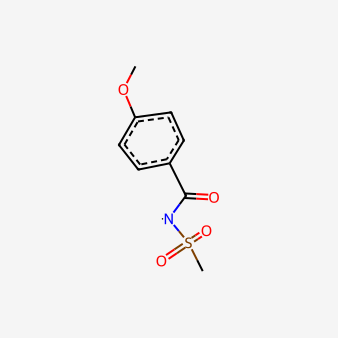 COc1ccc(C(=O)[N]S(C)(=O)=O)cc1